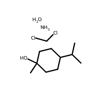 CC(C)C1CCC(C)(O)CC1.ClCCl.N.O